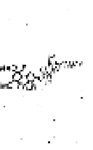 CNCc1c[nH]c(NC(=O)Oc2ccc(-c3c(F)c(OC)cc(OC)c3F)c3nccnc23)n1